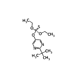 CCOP(=S)(OCC)Oc1cnc(C(C)(C)C)nc1